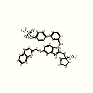 CS(=O)(=O)Nc1ccc(-c2cccc(Cn3c(CC4(C(=O)O)CCCC4)nc4cc(OCc5ccc6ccccc6n5)ccc43)c2)cc1